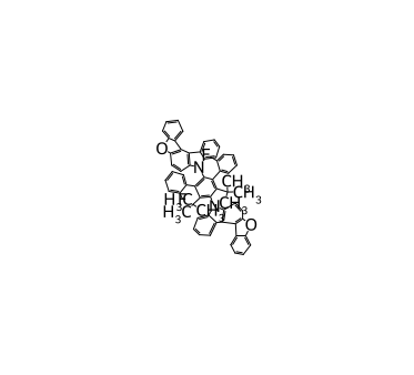 CC(C)(C)c1c(-c2ccccc2F)c(-n2c3ccccc3c3c4c(ccc32)oc2ccccc24)c(-c2ccccc2F)c(C(C)(C)C)c1-n1c2ccccc2c2c3c(ccc21)oc1ccccc13